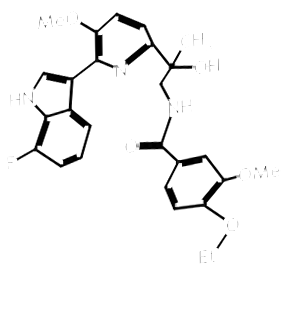 CCOc1ccc(C(=O)NCC(C)(O)c2ccc(OC)c(-c3c[nH]c4c(F)cccc34)n2)cc1OC